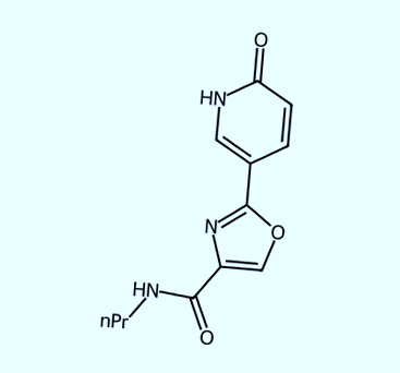 CCCNC(=O)c1coc(-c2ccc(=O)[nH]c2)n1